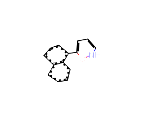 C1=CNOC(c2cccc3ccccc23)=C1